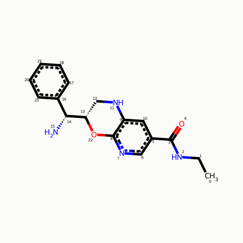 CCNC(=O)c1cnc2c(c1)NC[C@@H]([C@H](N)c1ccccc1)O2